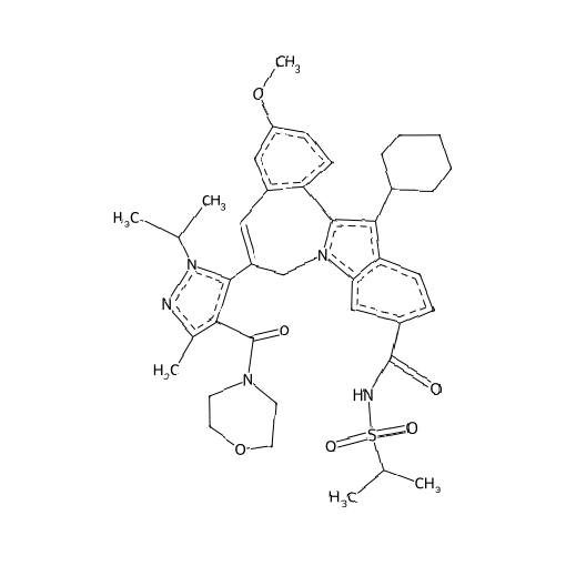 COc1ccc2c(c1)C=C(c1c(C(=O)N3CCOCC3)c(C)nn1C(C)C)Cn1c-2c(C2CCCCC2)c2ccc(C(=O)NS(=O)(=O)C(C)C)cc21